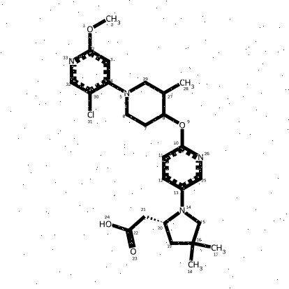 COc1cc(N2CCC(Oc3ccc(N4CC(C)(C)C[C@@H]4CC(=O)O)cn3)C(C)C2)c(Cl)cn1